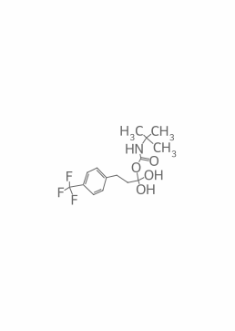 CC(C)(C)NC(=O)OC(O)(O)CCc1ccc(C(F)(F)F)cc1